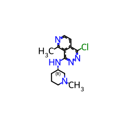 Cc1nccc2c(Cl)nnc(N[C@@H]3CCCN(C)C3)c12